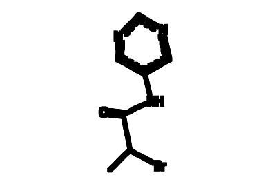 CC(Br)C(=O)Nc1cncnc1